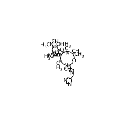 CO[C@]1(C)C[C@@H](C)CN(C)[C@H](C2CN(Cc3cncnc3)C2)COCC(C)(C)C[C@@H](C)[C@H]1O[C@@H]1O[C@H](C)C[C@H](N(C)C)[C@H]1O